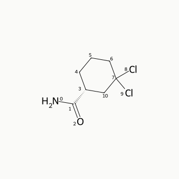 NC(=O)[C@@H]1CCCC(Cl)(Cl)C1